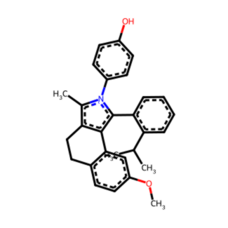 COc1ccc2c(c1)-c1c(c(C)n(-c3ccc(O)cc3)c1-c1ccccc1C(C)C)CC2